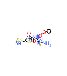 Nc1nc(C(=NOCCOc2ccccc2)C(=O)NC2C(=O)N3C=C(CSc4nncs4)CS[C@@H]23)ns1